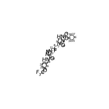 O=C(Nc1ccn(CCC(F)Cn2cc(C(=O)NCc3cccc(OC(F)(F)F)c3)nn2)c(=O)n1)OC1CCCCC1